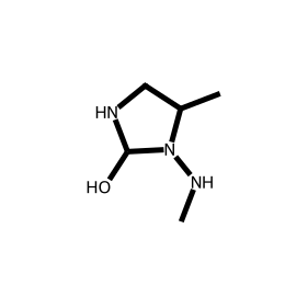 CNN1C(C)CNC1O